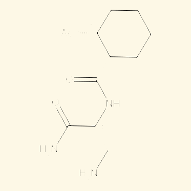 CC(=O)[C@@H]1CCCC[C@@H]1C(=O)N[C@H](CN)C(N)=O